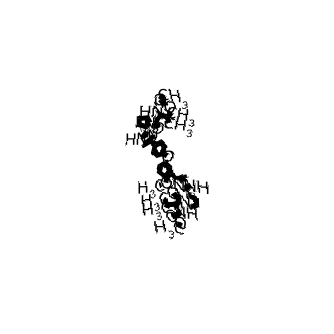 COC(=O)N[C@H](C(=O)N1CCC[C@H]1c1nc(-c2ccc(Oc3ccc(OC)c(-c4c[nH]c([C@@H]5CCCN5C(=O)[C@@H](NC(=O)OC)C(C)C)n4)c3)cc2)c[nH]1)C(C)C